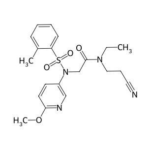 CCN(CCC#N)C(=O)CN(c1ccc(OC)nc1)S(=O)(=O)c1ccccc1C